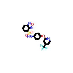 O=S(=O)(Nc1ccc(Oc2cc(C(F)(F)F)ccn2)cc1)c1cccc2nonc12